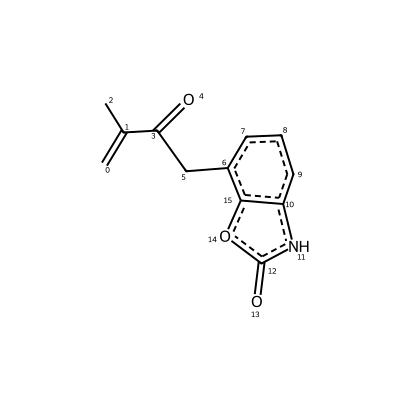 C=C(C)C(=O)Cc1cccc2[nH]c(=O)oc12